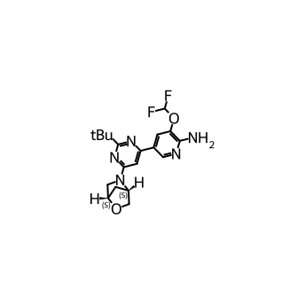 CC(C)(C)c1nc(-c2cnc(N)c(OC(F)F)c2)cc(N2C[C@@H]3C[C@H]2CO3)n1